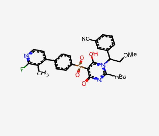 CCCCc1nc(=O)c(S(=O)(=O)c2ccc(-c3ccnc(F)c3C)cc2)c(O)n1C(COC)c1cccc(C#N)c1